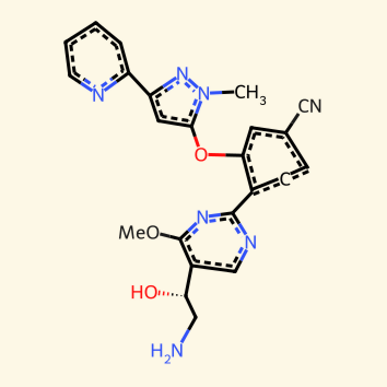 COc1nc(-c2ccc(C#N)cc2Oc2cc(-c3ccccn3)nn2C)ncc1[C@@H](O)CN